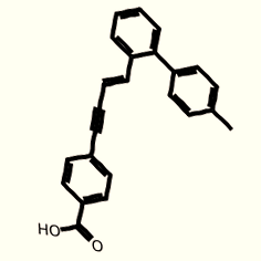 Cc1ccc(-c2ccccc2C=CC#Cc2ccc(C(=O)O)cc2)cc1